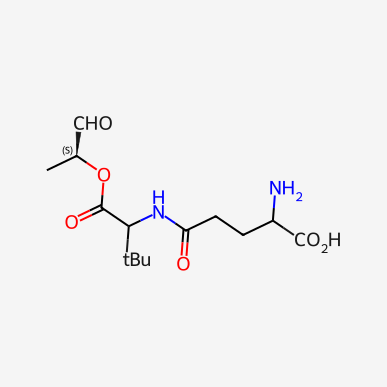 C[C@@H](C=O)OC(=O)C(NC(=O)CCC(N)C(=O)O)C(C)(C)C